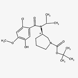 COc1cc(Cl)c(C(=O)N(C(C)C)[C@@H]2CCCN(C(=O)OC(C)(C)C)C2)cc1O